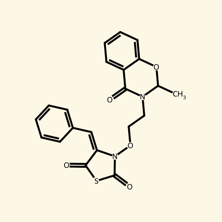 CC1Oc2ccccc2C(=O)N1CCON1C(=O)SC(=O)C1=Cc1ccccc1